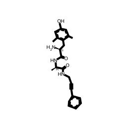 Cc1cc(O)cc(C)c1C[C@H](N)C(=O)N[C@H](C)C(=O)NCC#Cc1ccccc1